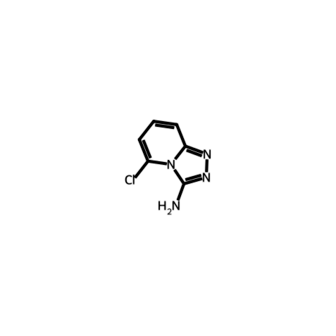 Nc1nnc2cccc(Cl)n12